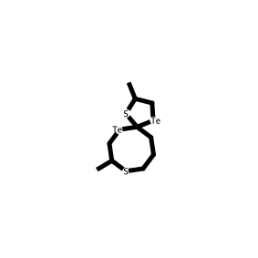 CC1C[Te]C2(CCCS1)SC(C)C[Te]2